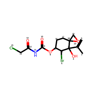 C=C(C)C1(O)C(Br)C(OC(=O)NC(=O)CCl)CCC12CO2